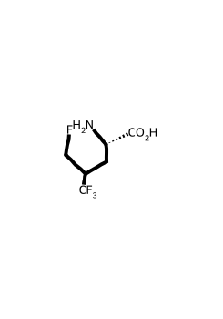 N[C@@H](CC(CF)C(F)(F)F)C(=O)O